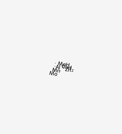 [Al].[CaH2].[MgH2].[Mn].[Mo].[Zn]